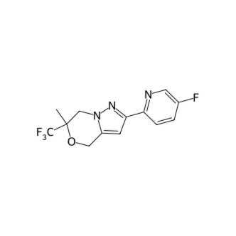 CC1(C(F)(F)F)Cn2nc(-c3ccc(F)cn3)cc2CO1